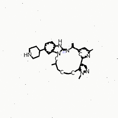 C=C1/N=C2\Nc3ccc(C4CCNCC4)cc3N2CC(C)CCCCc2c(cnn2C)-c2cc1cc(C)n2